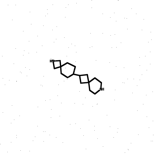 C1CC2(CCN1)CC(C1CCC3(CC1)CNC3)C2